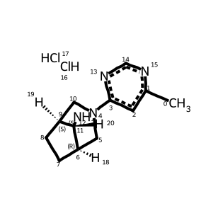 Cc1cc(N2C[C@H]3CC[C@@H](C2)[C@@H]3N)ncn1.Cl.Cl